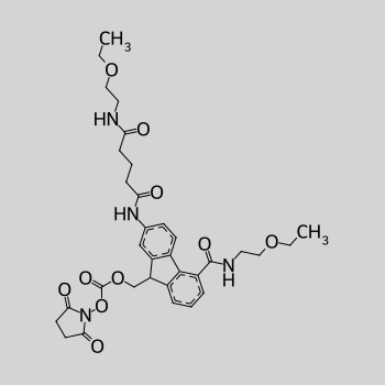 CCOCCNC(=O)CCCC(=O)Nc1ccc2c(c1)C(COC(=O)ON1C(=O)CCC1=O)c1cccc(C(=O)NCCOCC)c1-2